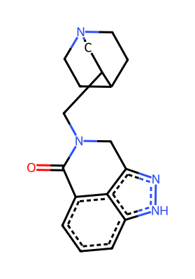 O=C1c2cccc3[nH]nc(c23)CN1CC1CN2CCC1CC2